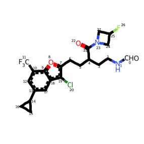 O=CNCCC(CCc1oc2c(C(F)(F)F)cc(C3CC3)cc2c1Cl)C(=O)N1CC(F)C1